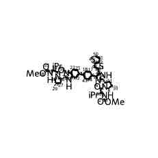 COC(=O)N[C@H](C(=O)N1C[C@@H](C)C[C@H]1c1nc(-c2ccc(-c3ccc4nc([C@@H]5C[C@H](C)CN5C(=O)[C@@H](NC(=O)OC)C(C)C)[nH]c4c3)cc2)c(-c2cc3sccc3s2)[nH]1)C(C)C